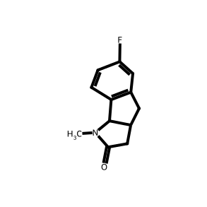 CN1C(=O)CC2Cc3cc(F)ccc3C21